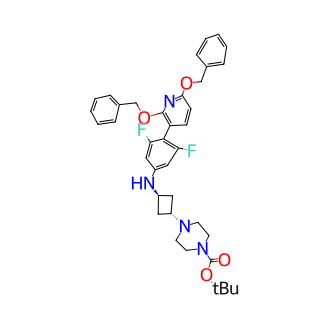 CC(C)(C)OC(=O)N1CCN([C@H]2C[C@H](Nc3cc(F)c(-c4ccc(OCc5ccccc5)nc4OCc4ccccc4)c(F)c3)C2)CC1